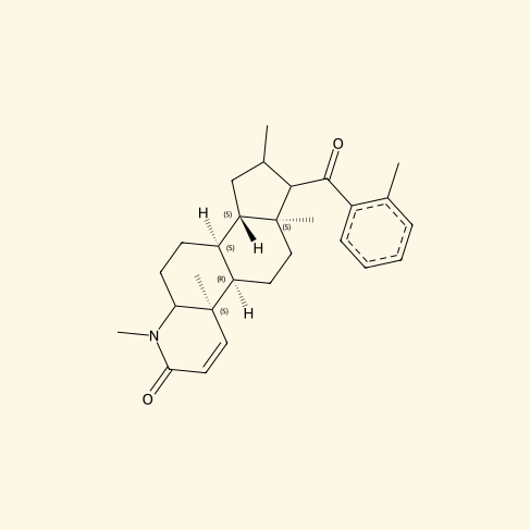 Cc1ccccc1C(=O)C1C(C)C[C@H]2[C@@H]3CCC4N(C)C(=O)C=C[C@]4(C)[C@@H]3CC[C@]12C